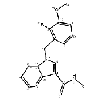 CNC(=O)c1cn(Cc2cccc(OC)c2F)c2cccnc12